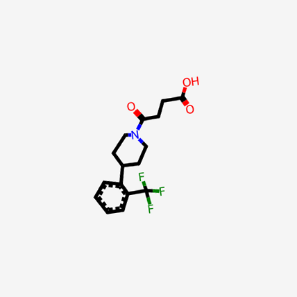 O=C(O)CCC(=O)N1CCC(c2ccccc2C(F)(F)F)CC1